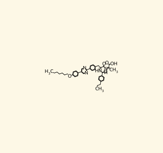 CCCCCCCOc1ccc(-c2cnc(-c3ccc(C[C@H](NC(=O)c4ccc(CCC)cc4)C(=O)N[C@H](C)C(=O)O)cc3)nc2)cc1